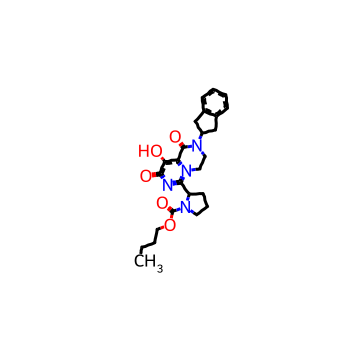 CCCCOC(=O)N1CCCC1c1nc(=O)c(O)c2n1CCN(C1Cc3ccccc3C1)C2=O